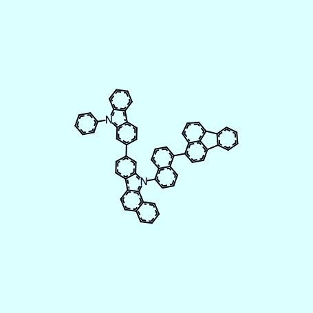 c1ccc(-n2c3ccccc3c3ccc(-c4ccc5c6ccc7ccccc7c6n(-c6cccc7c(-c8ccc9c%10c(cccc8%10)-c8ccccc8-9)cccc67)c5c4)cc32)cc1